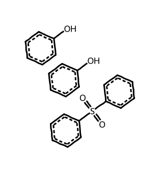 O=S(=O)(c1ccccc1)c1ccccc1.Oc1ccccc1.Oc1ccccc1